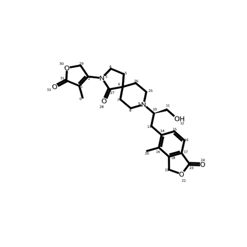 CC1=C(N2CCC3(CCN([C@@H](CO)Cc4ccc5c(c4C)COC5=O)CC3)C2=O)COC1=O